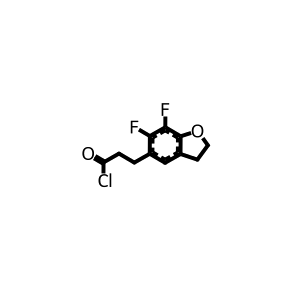 O=C(Cl)CCc1cc2c(c(F)c1F)OCC2